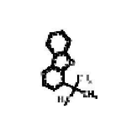 CC(C)(C)c1cc[c]c2c1oc1ccccc12